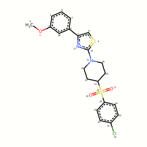 COc1cccc(-c2csc(N3CCC(S(=O)(=O)c4ccc(Cl)cc4)CC3)n2)c1